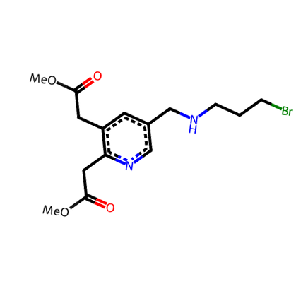 COC(=O)Cc1cc(CNCCCBr)cnc1CC(=O)OC